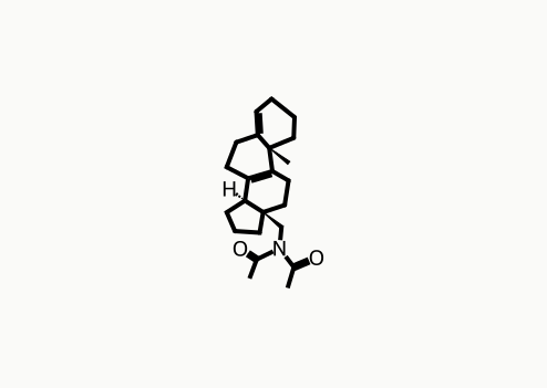 CC(=O)N(C[C@@]12CCC[C@H]1C1=C(CC2)[C@@]2(C)CCCC=C2CC1)C(C)=O